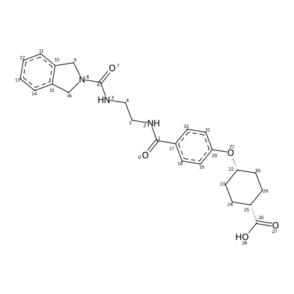 O=C(NCCNC(=O)N1Cc2ccccc2C1)c1ccc(O[C@H]2CC[C@@H](C(=O)O)CC2)cc1